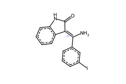 N/C(=C1\C(=O)Nc2ccccc21)c1cccc(I)c1